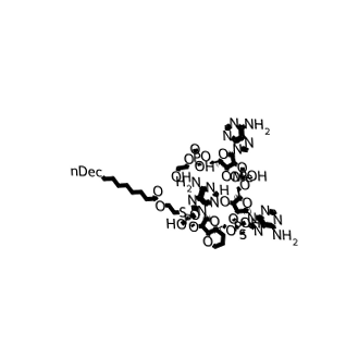 CCCCCCCCCCCCCCCCCC(=O)OCCSP(=O)(O)OC1C2OCCC[C@]2(COP(O)(=S)OC2C(O)[C@@H](COP(=O)(O)OC3C(OC)[C@@H](COP(=O)(O)OCCO)O[C@H]3n3cnc4c(N)ncnc43)O[C@H]2n2cnc3c(N)ncnc32)O[C@H]1n1cnc2c(N)ncnc21